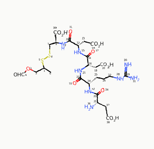 CC(COC=O)SSC[C@H](NC(=O)[C@H](CC(=O)O)NC(=O)[C@H](CC(=O)O)NC(=O)[C@H](CCCNC(=N)N)NC(=O)[C@@H](N)CC(=O)O)C(=O)O